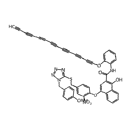 C#CC#CC#CC#CC#CC#CC#COc1ccccc1NC(=O)c1cc(Oc2ccc(CSc3nnnn3Cc3ccc(OC)cc3)cc2[N+](=O)[O-])c2ccccc2c1O